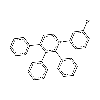 [O-]c1cccc(-[n+]2ccc(-c3ccccc3)c(-c3ccccc3)c2-c2ccccc2)c1